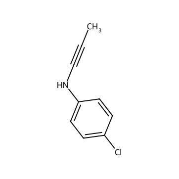 CC#CNc1ccc(Cl)cc1